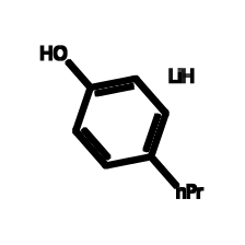 CCCc1ccc(O)cc1.[LiH]